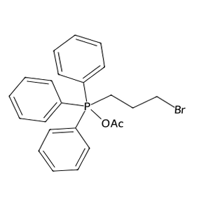 CC(=O)OP(CCCBr)(c1ccccc1)(c1ccccc1)c1ccccc1